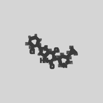 O=c1[nH]c2cc(-c3ccccc3Cl)sc2c(=O)n1-c1cncc(C2CC2)c1